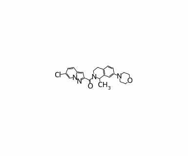 CC1c2cc(N3CCOCC3)ccc2CCN1C(=O)c1cc2ccc(Cl)cn2n1